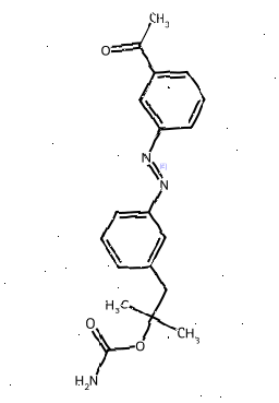 CC(=O)c1cccc(/N=N/c2cccc(CC(C)(C)OC(N)=O)c2)c1